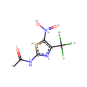 CC(=O)Nc1nc(C(F)(F)F)c([N+](=O)[O-])s1